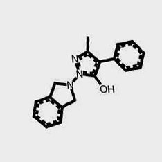 Cc1nn(N2Cc3ccccc3C2)c(O)c1-c1ccccc1